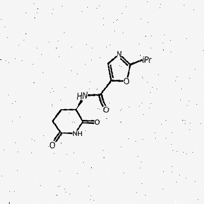 CC(C)c1ncc(C(=O)N[C@@H]2CCC(=O)NC2=O)o1